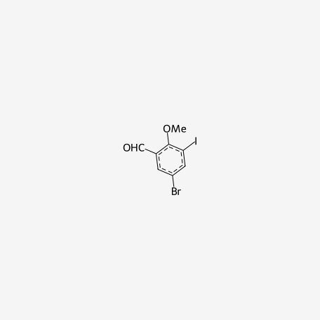 COc1c(I)cc(Br)cc1C=O